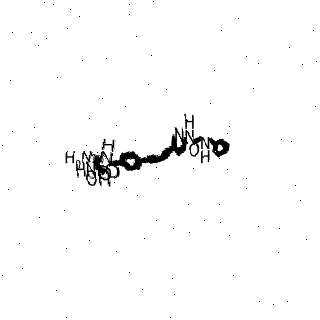 NC[C@H](NC(=O)c1ccc(C#CC#Cc2ccc(NC(=O)CNCc3ccccc3)nc2)cc1)C(=O)NO